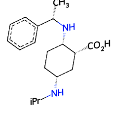 CC(C)N[C@@H]1CC[C@H](N[C@@H](C)c2ccccc2)[C@H](C(=O)O)C1